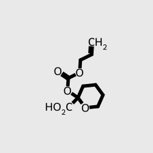 C=CCOC(=O)OC1(C(=O)O)CCCCO1